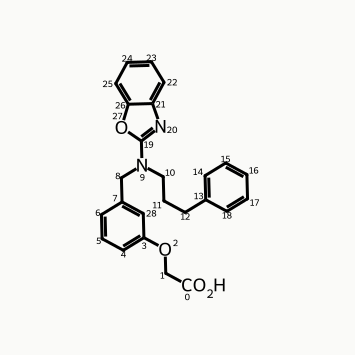 O=C(O)COc1cccc(CN(CCCc2ccccc2)c2nc3ccccc3o2)c1